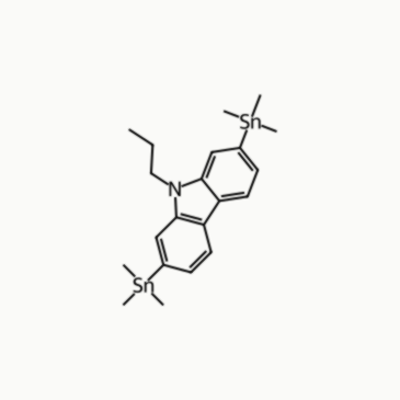 CCCn1c2c[c]([Sn]([CH3])([CH3])[CH3])ccc2c2cc[c]([Sn]([CH3])([CH3])[CH3])cc21